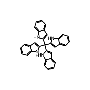 c1ccc2[nH]c(C(c3cc4ccccc4[nH]3)(c3cc4ccccc4[nH]3)c3cc4ccccc4[nH]3)cc2c1